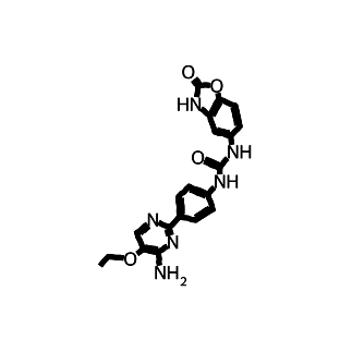 CCOc1cnc(-c2ccc(NC(=O)Nc3ccc4oc(=O)[nH]c4c3)cc2)nc1N